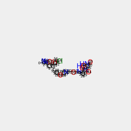 Cc1cc(-c2ccc(CCc3ccc(OC4CCN(CCCOCCNc5cccc6c5C(=O)N(C5CCC(=O)NC5=O)C6=O)CC4)cc3)c(-c3ccc(Cl)c(C)c3)c2O)n(C)n1